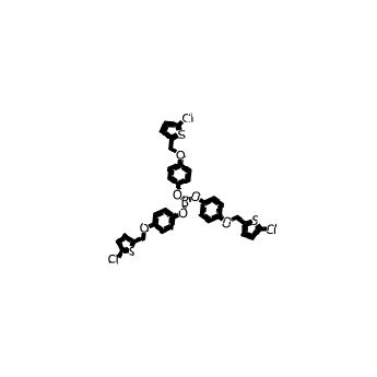 Clc1ccc(COc2ccc(OB(Oc3ccc(OCc4ccc(Cl)s4)cc3)Oc3ccc(OCc4ccc(Cl)s4)cc3)cc2)s1